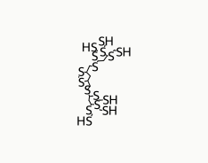 SCSC(CC(SCS)SCC1CC(CSC(CC(SCS)SCS)SCS)SCS1)SCS